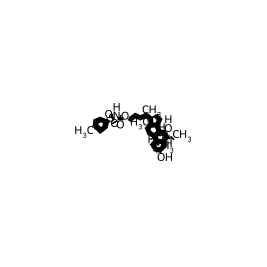 CC[C@H]1[C@@H](O)[C@@H]2[C@H](CC[C@]3(C)[C@@H]([C@H](C)CCCOC(=O)NS(=O)(=O)c4ccc(C)cc4)CC[C@@H]23)[C@@]2(C)CC[C@@H](O)C[C@@H]12